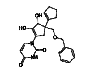 O=c1ccn(C2=C(O)[C@H](O)C(COCc3ccccc3)(C3=CCCC3)C2)c(=O)[nH]1